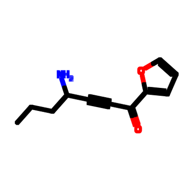 CCCC(N)C#CC(=O)c1ccco1